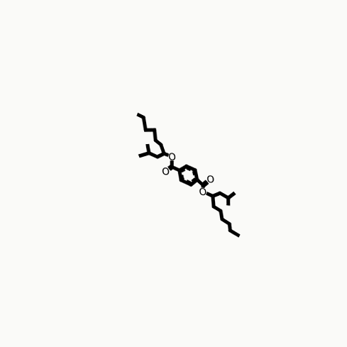 CCCCCCC(CC(C)C)OC(=O)c1ccc(C(=O)OC(CCCCCC)CC(C)C)cc1